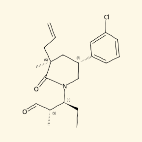 C=CC[C@@]1(C)C[C@H](c2cccc(Cl)c2)CN([C@@H](CC)[C@H](C)C=O)C1=O